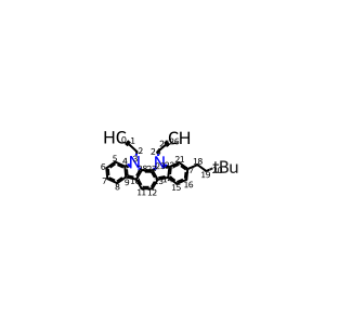 C#CCn1c2ccccc2c2ccc3c4ccc(CCC(C)(C)C)cc4n(CC#C)c3c21